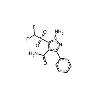 NC(=O)c1c(-c2ccccc2)nn(N)c1S(=O)(=O)C(F)F